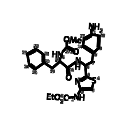 CCOC(=O)Nc1csc(C(Cc2ccc(N)cc2)NC(=O)C(Cc2ccccc2)NC(=O)OC)n1